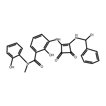 CCC(Nc1c(Nc2cccc(C(=O)N(C)c3ccccc3O)c2O)c(=O)c1=O)c1ccccc1